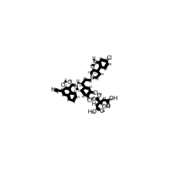 COc1c(C#N)cc2ccccc2c1C(=O)N(C)C[C@@H](CCN1CCC(c2ccc(Cl)cc2[S+](C)[O-])CC1)c1ccc(Cl)c(Cl)c1.O=C(O)CC(O)(CC(=O)O)C(=O)O